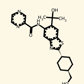 CC(C)(O)c1cc2sc([C@H]3CC[C@H](CO)CC3)nc2cc1NC(=O)c1cnccn1